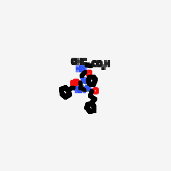 O=C[C@H](CC(=O)O)NC(=O)CN1C(=O)[C@@H](NC(=O)c2ccccc2)CN(C(=O)CCc2ccccc2)c2ccccc21